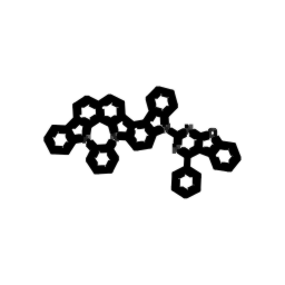 c1ccc(-c2nc(-n3c4ccccc4c4c5c6ccc7ccc8c9ccccc9n9c%10ccccc%10n(c5ccc43)c6c7c89)nc3oc4ccccc4c23)cc1